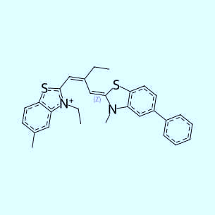 CCC(=Cc1sc2ccc(C)cc2[n+]1CC)/C=C1\Sc2ccc(-c3ccccc3)cc2N1C